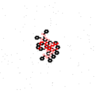 COC(O)C(OC(=O)c1ccccc1)C(C[C@@H](COC(=O)c1ccccc1)OC(=O)c1ccccc1)OC1OC(COC(=O)c2ccccc2)C(OCc2ccccc2)C(CCC(OC(=O)c2ccccc2)C(C[C@@H](COC(=O)c2ccccc2)OC(=O)c2ccccc2)OC2OC(COC(=O)c3ccccc3)C(OCc3ccccc3)C(OCc3ccc4ccccc4c3)C2OCc2ccccc2)C1OCc1ccccc1